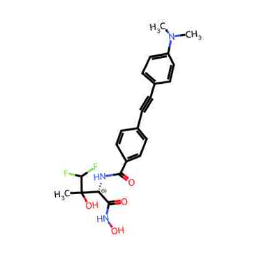 CN(C)c1ccc(C#Cc2ccc(C(=O)N[C@H](C(=O)NO)C(C)(O)C(F)F)cc2)cc1